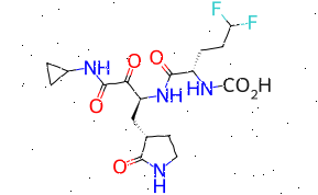 O=C(O)N[C@@H](CCC(F)F)C(=O)N[C@@H](C[C@@H]1CCNC1=O)C(=O)C(=O)NC1CC1